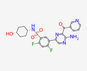 Nc1ncc(-c2cc(S(=O)(=O)N[C@H]3CC[C@@H](O)CC3)c(F)cc2F)nc1C(=O)c1cccnc1